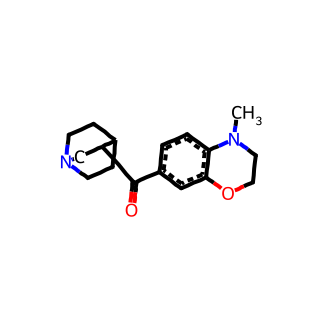 CN1CCOc2cc(C(=O)C3CN4CCC3CC4)ccc21